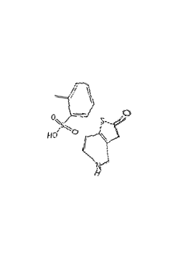 Cc1ccccc1S(=O)(=O)O.O=C1CC2=C(CCNC2)S1